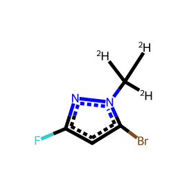 [2H]C([2H])([2H])n1nc(F)cc1Br